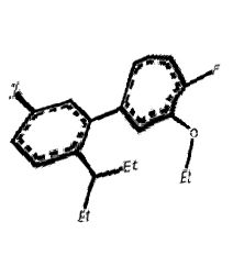 CCOc1cc(-c2cc(Cl)ccc2C(CC)CC)ccc1F